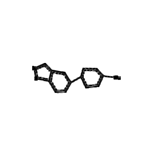 CC(C)(C)c1ccc(-c2ccc3sncc3c2)cc1